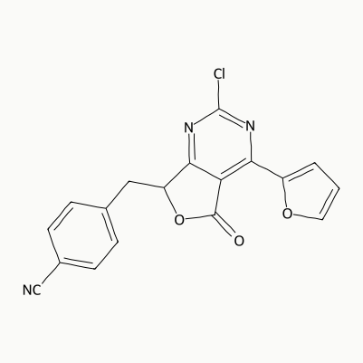 N#Cc1ccc(CC2OC(=O)c3c(-c4ccco4)nc(Cl)nc32)cc1